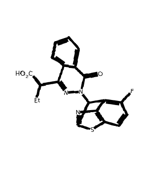 CCC(C(=O)O)c1nn(C2c3nc4c2c(F)ccc4s3)c(=O)c2ccccc12